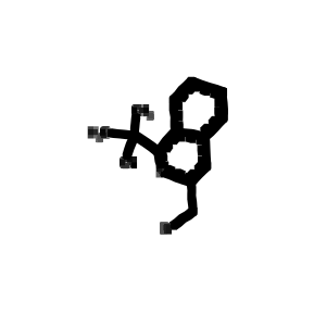 CC(C)(C#N)c1nc(CBr)cc2ccccc12